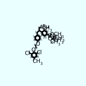 Cc1cc(Cl)c(OCCOc2ccc(CC([CH]C(C)(C)C)c3ccc(B4OC(C)(C)C(C)(C)O4)cc3C)cc2)c(Cl)c1